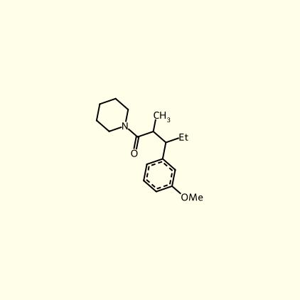 CCC(c1cccc(OC)c1)C(C)C(=O)N1CCCCC1